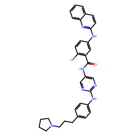 O=C(Nc1cnc(Nc2ccc(CCCN3CCCC3)cc2)nc1)c1cc(Nc2ccc3ccccc3n2)ccc1Cl